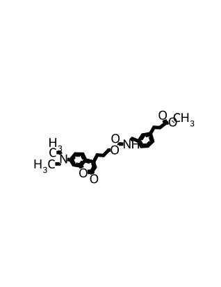 CCN(CC)c1ccc2c(CCCOC(=O)NCc3cccc(CCC(=O)OC)c3)cc(=O)oc2c1